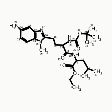 CCOC(=O)C(CC(C)C)NC(=O)C(CCc1nc2cc(N)ccc2n1C)NC(=O)OC(C)(C)C